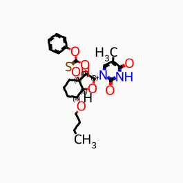 CCCCO[C@@H]1CCC[C@]2(O)[C@@H](OC(=S)Oc3ccccc3)[C@H](n3cc(C)c(=O)[nH]c3=O)O[C@@H]12